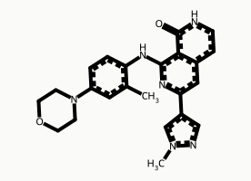 Cc1cc(N2CCOCC2)ccc1Nc1nc(-c2cnn(C)c2)cc2cc[nH]c(=O)c12